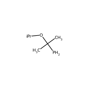 CC(C)OC(C)(C)P